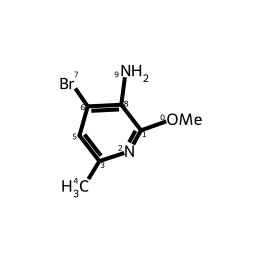 COc1nc(C)cc(Br)c1N